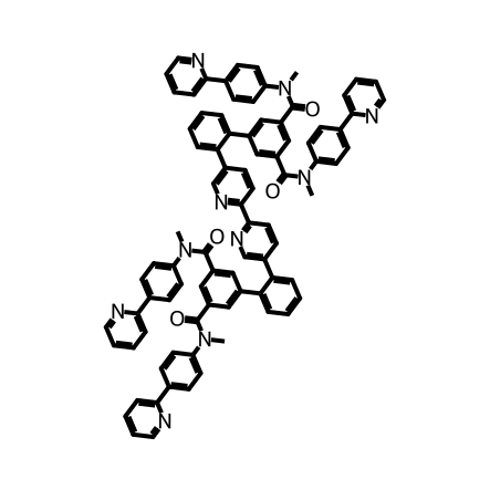 CN(C(=O)c1cc(C(=O)N(C)c2ccc(-c3ccccn3)cc2)cc(-c2ccccc2-c2ccc(-c3ccc(-c4ccccc4-c4cc(C(=O)N(C)c5ccc(-c6ccccn6)cc5)cc(C(=O)N(C)c5ccc(-c6ccccn6)cc5)c4)cn3)nc2)c1)c1ccc(-c2ccccn2)cc1